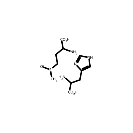 C[S+]([O-])CCC(N)C(=O)O.NC(Cc1c[nH]cn1)C(=O)O